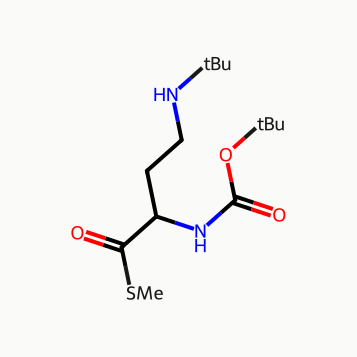 CSC(=O)C(CCNC(C)(C)C)NC(=O)OC(C)(C)C